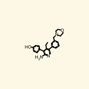 CCc1c(-c2cccc(CN3CCOCC3)c2)cnc(N)c1-c1ccc(O)cc1